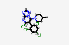 CC1CCN(c2c(-c3c(Cl)cc(Cl)cc3Cl)c(Cl)nc3ncnn23)CC1